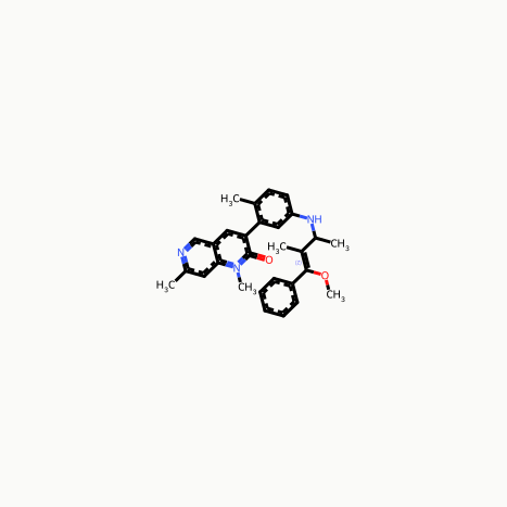 CO/C(=C(/C)C(C)Nc1ccc(C)c(-c2cc3cnc(C)cc3n(C)c2=O)c1)c1ccccc1